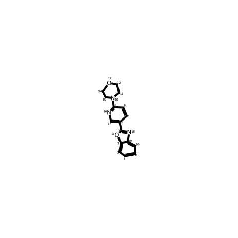 c1ccc2oc(-c3ccc(N4CCOCC4)nc3)nc2c1